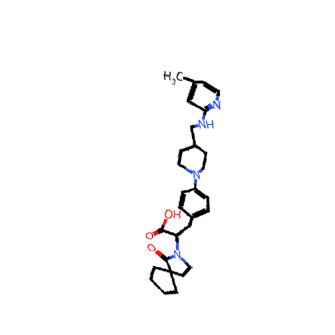 Cc1ccnc(NCC2CCN(c3ccc(CC(C(=O)O)N4CCC5(CCCC5)C4=O)cc3)CC2)c1